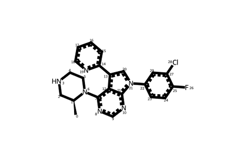 C[C@H]1CNCCN1c1ncnc2c1c(-c1ccccn1)cn2-c1ccc(F)c(Cl)c1